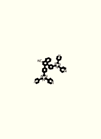 N#Cc1cc(-c2ccc(-c3nc(-c4ccncc4)nc(-c4ccncc4)n3)cc2)c(-c2cccc(-c3nc(-c4ccncc4)nc(-c4ccncc4)n3)c2)c2ccccc12